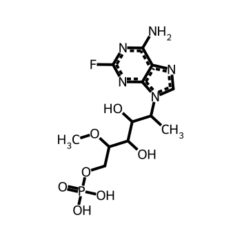 COC(COP(=O)(O)O)C(O)C(O)C(C)n1cnc2c(N)nc(F)nc21